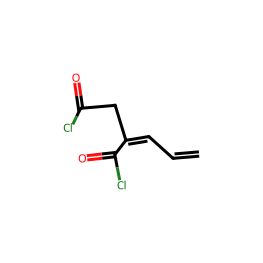 C=CC=C(CC(=O)Cl)C(=O)Cl